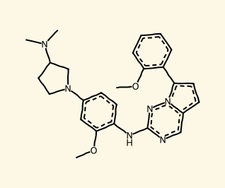 COc1cc(N2CCC(N(C)C)C2)ccc1Nc1ncc2ccc(-c3ccccc3OC)n2n1